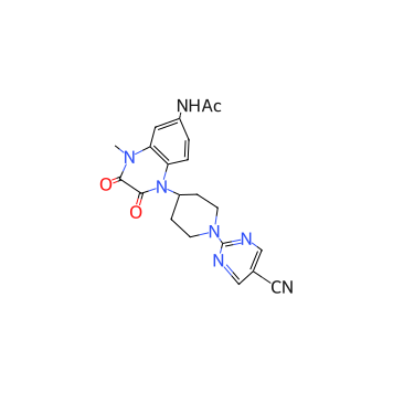 CC(=O)Nc1ccc2c(c1)n(C)c(=O)c(=O)n2C1CCN(c2ncc(C#N)cn2)CC1